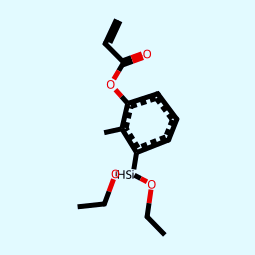 C=CC(=O)Oc1cccc([SiH](OCC)OCC)c1C